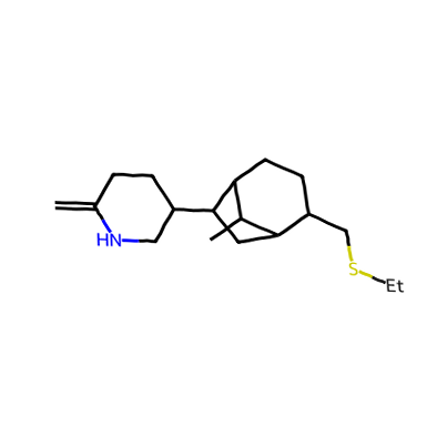 C=C1CCC(C2CC3C(CSCC)CCC2C3C)CN1